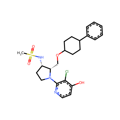 CS(=O)(=O)N[C@H]1CCN(c2nccc(O)c2Cl)[C@H]1COC1CCC(c2ccccc2)CC1